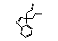 C=CCC1(CC=C)C=Nc2ncccc21